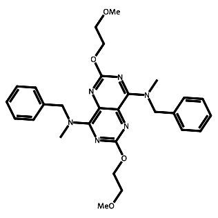 COCCOc1nc(N(C)Cc2ccccc2)c2nc(OCCOC)nc(N(C)Cc3ccccc3)c2n1